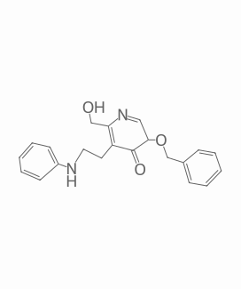 O=C1C(CCNc2ccccc2)=C(CO)N=CC1OCc1ccccc1